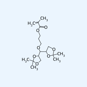 C=C(C)C(=O)OCCCOC(C1COC(C)(C)O1)C1COC(C)(C)O1